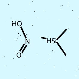 C[SiH](C)C.O=NO